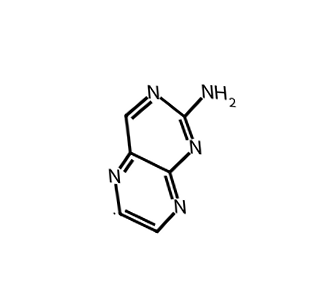 Nc1ncc2n[c]cnc2n1